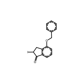 O=C1c2cccc(OCc3ccccc3)c2CC1I